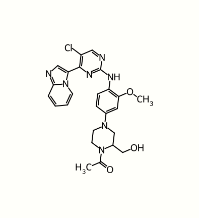 COc1cc(N2CCN(C(C)=O)C(CO)C2)ccc1Nc1ncc(Cl)c(-c2cnc3ccccn23)n1